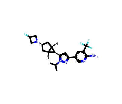 CC(C)n1nc(-c2cnc(N)c(C(F)(F)F)c2)cc1[C@H]1[C@@H]2C[C@H](N3CC(F)C3)C[C@@H]21